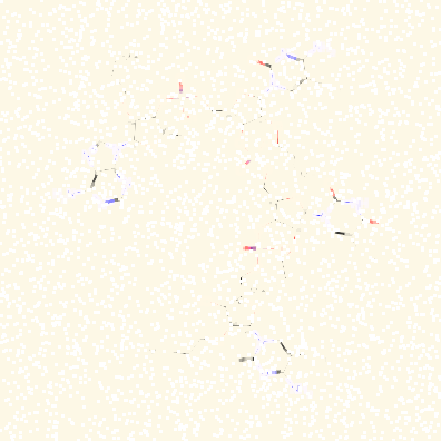 C=C1N=C(N)C(C)=CN1[C@@H]1O[C@H](COP(=O)(O)OC2[C@@H](COP(=O)(O)OC3[C@@H](COP(=O)(O)OC4[C@@H](CC)O[C@@H](n5cnc6c(N)ncnc65)[C@H]4OCCOC)O[C@@H](n4cc(C)c(N)nc4=O)[C@H]3OCCOC)O[C@@H](n3cc(C)c(=O)[nH]c3=O)[C@H]2OCCOC)C(O)[C@@H]1OCCOC